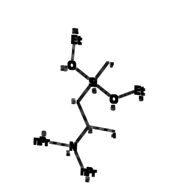 CCCN(CCC)C(C)C[Si](C)(OCC)OCC